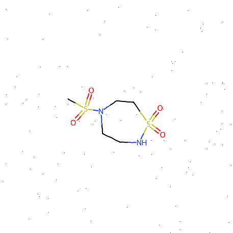 CS(=O)(=O)N1CCNS(=O)(=O)CC1